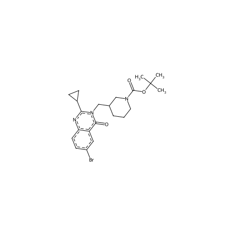 CC(C)(C)OC(=O)N1CCCC(Cn2c(C3CC3)nc3ccc(Br)cc3c2=O)C1